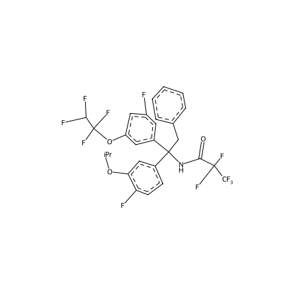 CC(C)Oc1cc(C(Cc2ccccc2)(NC(=O)C(F)(F)C(F)(F)F)c2cc(F)cc(OC(F)(F)C(F)F)c2)ccc1F